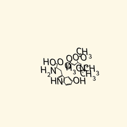 CC(=O)O[C@H](CC(=O)[O-])C[N+](C)(C)C.N[C@@H](Cc1c[nH]c2ccc(O)cc12)C(=O)O